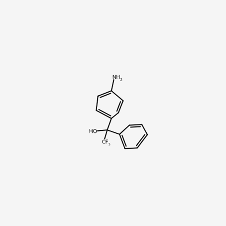 Nc1ccc(C(O)(c2ccccc2)C(F)(F)F)cc1